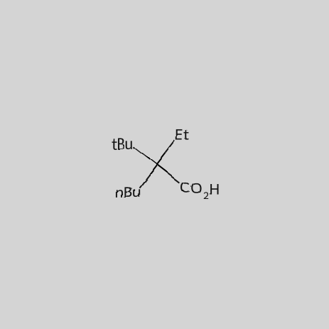 CCCCC(CC)(C(=O)O)C(C)(C)C